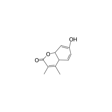 CC1=C(C)C2C=CC(O)=CC2OC1=O